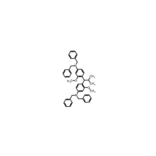 COc1cc(N(Cc2ccccc2)Cc2ccccc2)ccc1C(c1ccc(N(Cc2ccccc2)Cc2ccccc2)cc1OC)C(C)C